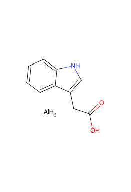 O=C(O)Cc1c[nH]c2ccccc12.[AlH3]